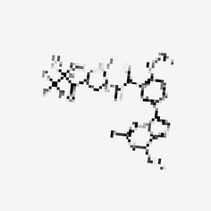 COc1ncc(-c2ccc3c(N)nc(F)nn23)cc1C(=O)N[C@@H]1CN(C(=O)[C@@](C)(O)C(F)(F)F)C[C@@H]1F